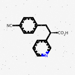 N#Cc1ccc(C[C@@H](C(=O)O)c2cccnc2)cc1